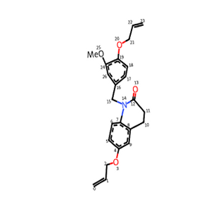 C=CCOc1ccc2c(c1)CCC(=O)N2Cc1ccc(OCC=C)c(OC)c1